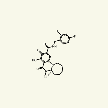 CCN1C(=O)c2c(O)c(=O)c(C(=O)NCc3ccc(F)cc3F)cn2N2CCCCC[C@@H]12